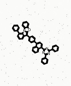 c1ccc(-c2nc(-c3ccccc3)nc(-c3ccc(-c4ccc(-c5c6cccc(-c7ccccc7)c6n6c5oc5ccccc56)cc4)c4ccccc34)n2)cc1